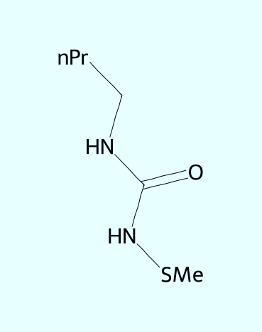 [CH2]CCCNC(=O)NSC